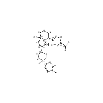 Cc1ccc(C2(C)CCN(C(=O)N[C@@H]3C(N4CCN(C(C)C)CC4)CCCC3(F)F)CC2)cc1